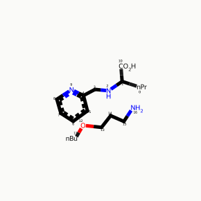 CCCC(NCc1ccccn1)C(=O)O.CCCCOCCCN